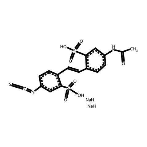 CC(=O)Nc1ccc(C=Cc2ccc(N=C=S)cc2S(=O)(=O)O)c(S(=O)(=O)O)c1.[NaH].[NaH]